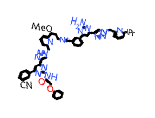 COC(CC[N+]#Cc1cccc(-c2cc(-c3cn(Cc4cccc(C(C)C)n4)nn3)nc(N)n2)c1)c1cccc(Cn2cc(-c3cc(-c4cccc(C#N)c4)nc(NC(=O)COc4ccccc4)n3)nn2)n1